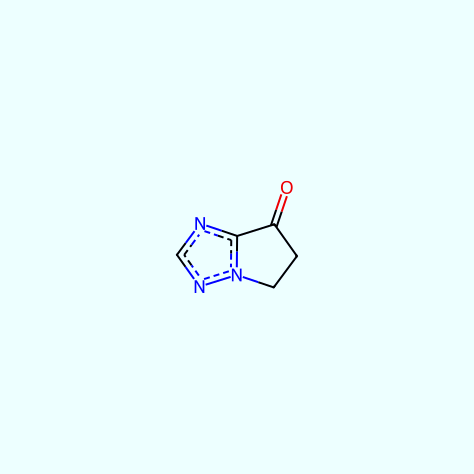 O=C1CCn2ncnc21